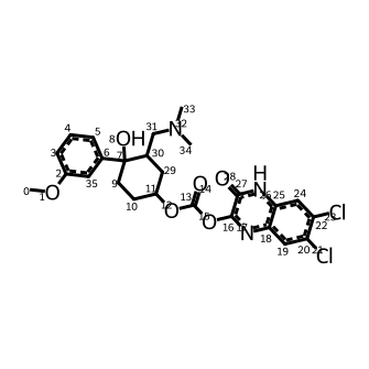 COc1cccc(C2(O)CCC(OC(=O)Oc3nc4cc(Cl)c(Cl)cc4[nH]c3=O)CC2CN(C)C)c1